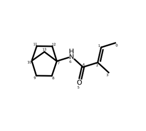 CC=C(C)C(=O)NC12CCC(CC1)C2